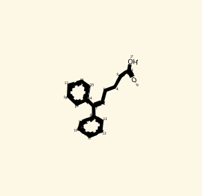 O=C(O)CCCC=C(c1ccccc1)c1ccccc1